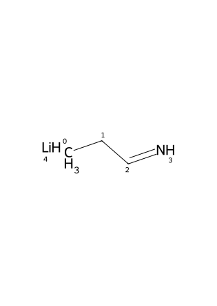 CCC=N.[LiH]